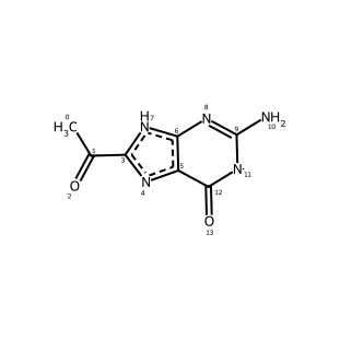 CC(=O)c1nc2c([nH]1)N=C(N)[N]C2=O